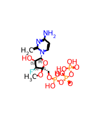 C=C1N=C(N)C=CN1[C@@H]1O[C@@](COP(=O)(O)OP(=O)(O)OP(=O)(O)O)(OC)[C@@H](F)[C@H]1O